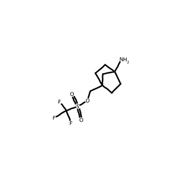 NC12CCC(COS(=O)(=O)C(F)(F)F)(CC1)C2